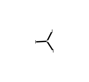 II(I)I